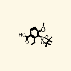 CCc1c(C(=O)O)ccc(OC)c1B1OC(C)(C)C(C)(C)O1